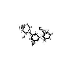 C[C@H]1CNCCN1c1cc(F)cc(-c2c(F)cccc2F)c1